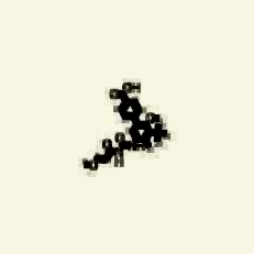 COC=CC(=O)NC(=O)Nc1cc(-c2ccc(C(=O)O)cc2)c(OC)c(C(C)(C)C)c1C